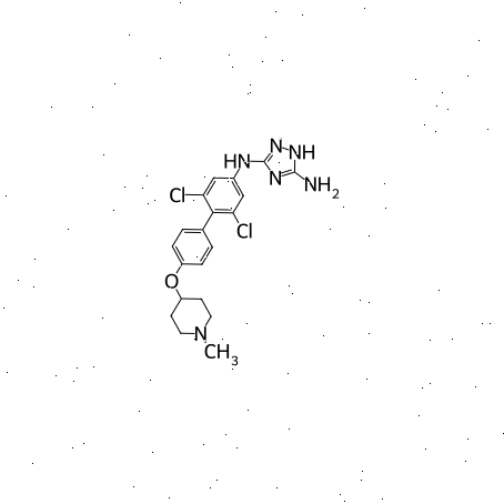 CN1CCC(Oc2ccc(-c3c(Cl)cc(Nc4n[nH]c(N)n4)cc3Cl)cc2)CC1